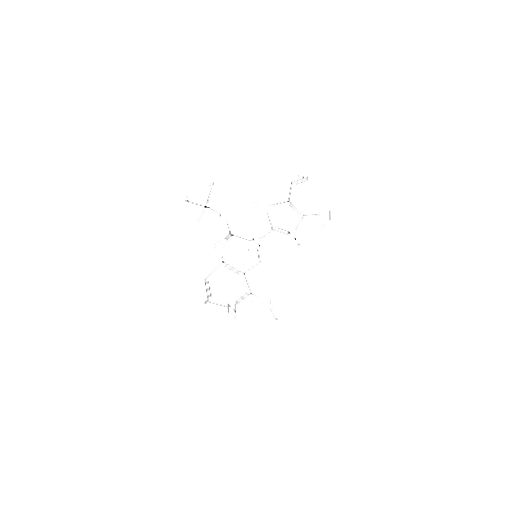 COc1ncccc1CN(C(=O)OC(C)(C)C)c1nc(Cl)c(C=O)s1